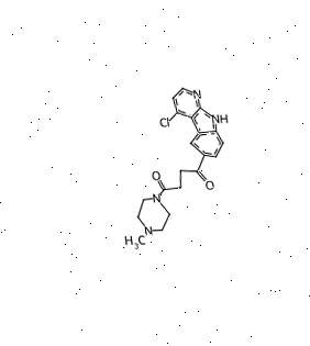 CN1CCN(C(=O)CCC(=O)c2ccc3[nH]c4nccc(Cl)c4c3c2)CC1